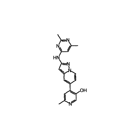 Cc1cc(-c2ccn3nc(Nc4cc(C)nc(C)n4)cc3c2)c(O)cn1